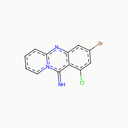 N=c1c2c(Cl)cc(Br)cc2nc2ccccn12